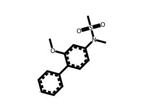 COc1cc(N(C)S(C)(=O)=O)ccc1-c1cc[c]cc1